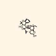 CC[C@]1(C)CC(=O)N(C(CCOC)[C@@H]2C[C@H]2C(=O)N[C@@H]2c3ccccc3OC(C)(C)[C@H]2O)C(=N)N1